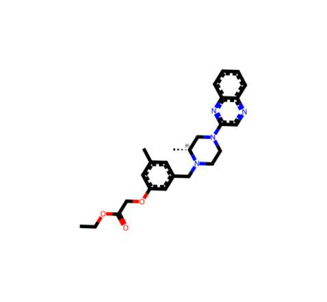 CCOC(=O)COc1cc(C)cc(CN2CCN(c3cnc4ccccc4n3)C[C@H]2C)c1